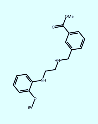 COC(=O)c1cccc(CNCCNc2ccccc2OC(C)C)c1